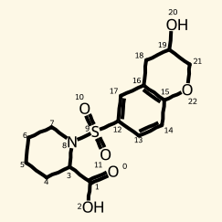 O=C(O)C1CCCCN1S(=O)(=O)c1ccc2c(c1)CC(O)CO2